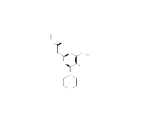 COC(=O)Cc1nc(OC)c(Cl)c(N2CCOCC2)n1